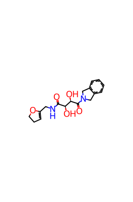 O=C(NCC1=CCCO1)[C@H](O)[C@@H](O)C(=O)N1Cc2ccccc2C1